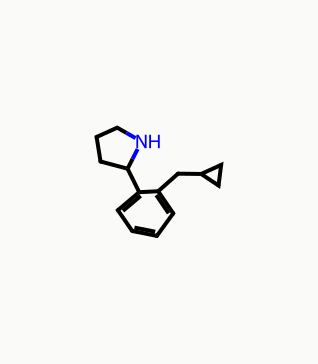 c1ccc(C2CCCN2)c(CC2CC2)c1